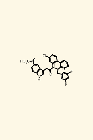 CN(C(=O)O)c1ccc2[nH]cc(CC(=O)NC(Cc3cc(F)cc(F)c3)c3ncccc3-c3ccc(Cl)cc3)c2c1